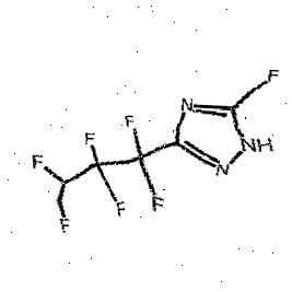 Fc1nc(C(F)(F)C(F)(F)C(F)F)n[nH]1